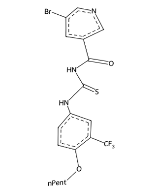 CCCCCOc1ccc(NC(=S)NC(=O)c2cncc(Br)c2)cc1C(F)(F)F